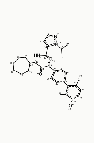 Cc1c(-c2ccc(NC(=O)[C@@H](NC(=O)c3ccnn3C(C)C)C3CCCCCC3)cc2)c(Cl)cc[n+]1[O-]